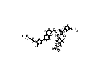 C[n+]1cc(-c2ccc3c(c2)CC[C@H](CO/N=C(\C(=O)NC2C(=O)N(OS(=O)(=O)O)C2(C)C)c2csc(N)n2)O3)cn1CCCN